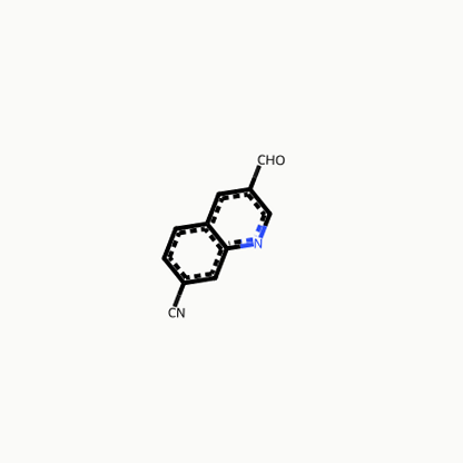 N#Cc1ccc2cc(C=O)cnc2c1